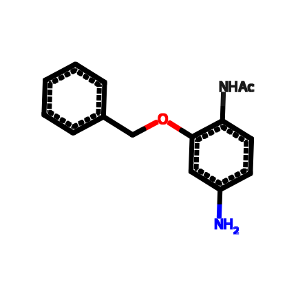 CC(=O)Nc1ccc(N)cc1OCc1ccccc1